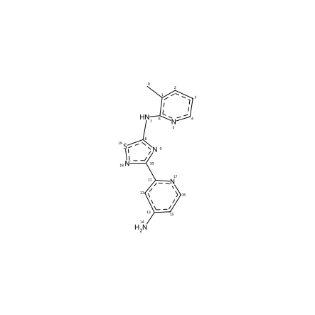 Cc1cccnc1Nc1nc(-c2cc(N)ccn2)ns1